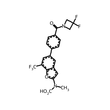 CN(C(=O)O)c1cc2cc(-c3ccc(C(=O)N4CC(F)(F)C4)cc3)cc(C(F)(F)F)c2o1